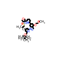 COCCOc1cc(-c2cccc([C@]3(N[S+]([O-])CC(C)C)CCOC3)n2)cc2c1cnn2-c1cccc(CO[Si](C)(C)C(C)(C)C)n1